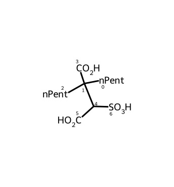 CCCCCC(CCCCC)(C(=O)O)C(C(=O)O)S(=O)(=O)O